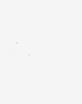 N[C@@H](Cc1cnc[nH]1)C(=O)c1cccc2c1OC(c1ccccc1)CC2